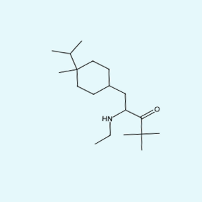 CCNC(CC1CCC(C)(C(C)C)CC1)C(=O)C(C)(C)C